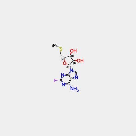 CC(C)SC[C@H]1O[C@@H](n2cnc3c(N)nc(I)nc32)[C@H](O)[C@@H]1O